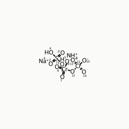 O=S(=O)(O)O.[NH4+].[Na+].[O]=[Cr](=[O])([O-])[O][Cr](=[O])(=[O])[O-]